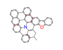 CC1C=CC(N(c2ccccc2-c2ccccc2)c2ccccc2-c2cccc3cccc(-c4ccccc4)c23)=C(c2cccc3c2oc2ccccc23)C1